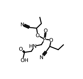 CCC(C#N)OP(=O)(CNCC(=O)O)OC(C#N)CC